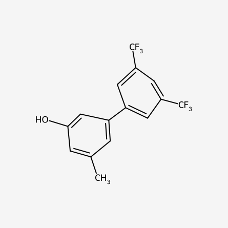 Cc1cc(O)cc(-c2cc(C(F)(F)F)cc(C(F)(F)F)c2)c1